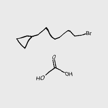 BrCCCCC1CC1.O=C(O)O